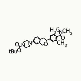 Cc1cc(C2Cc3ccc(N4CCN(C(=O)OC(C)(C)C)CC4)cc3CO2)ccc1C(=O)N(C)C